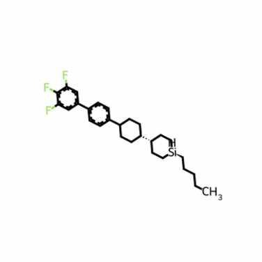 CCCCC[Si@H]1CC[C@H](C2CCC(c3ccc(-c4cc(F)c(F)c(F)c4)cc3)CC2)CC1